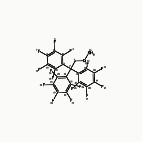 Fc1c(F)c(F)c(C(CO[SiH3])(c2c(F)c(F)c(F)c(F)c2F)c2c(F)c(F)c(F)c(F)c2F)c(F)c1F